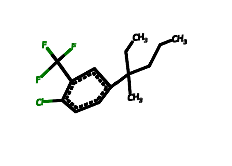 CCCC(C)(CC)c1ccc(Cl)c(C(F)(F)F)c1